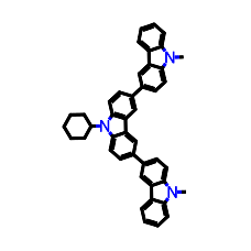 Cn1c2ccccc2c2cc(-c3ccc4c(c3)c3cc(-c5ccc6c(c5)c5ccccc5n6C)ccc3n4C3CCCCC3)ccc21